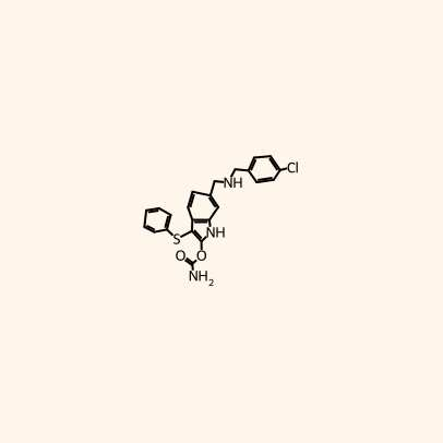 NC(=O)Oc1[nH]c2cc(CNCc3ccc(Cl)cc3)ccc2c1Sc1ccccc1